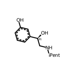 CCCC(C)NC[C@H](O)c1cccc(O)c1